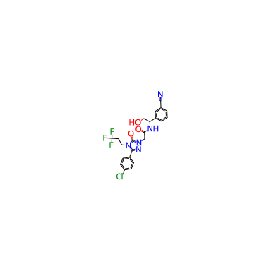 N#Cc1cccc(C(CO)NC(=O)Cn2nc(-c3ccc(Cl)cc3)n(CCC(F)(F)F)c2=O)c1